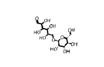 O=CC(O)C(O)C(O)C(O)CO[C@H]1O[C@H](CO)[C@@H](O)[C@H](O)[C@@H]1O